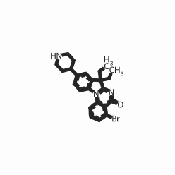 CCC1(CC)c2cc(C3CCNCC3)ccc2-n2c1nc(=O)c1c(Br)cccc12